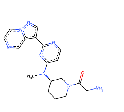 CN(c1ccnc(-c2cnn3ccncc23)n1)[C@@H]1CCCN(C(=O)CN)C1